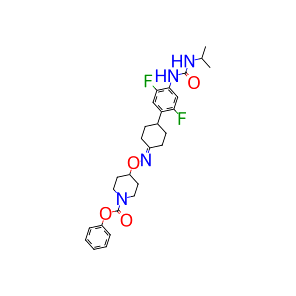 CC(C)NC(=O)Nc1cc(F)c(C2CCC(=NOC3CCN(C(=O)Oc4ccccc4)CC3)CC2)cc1F